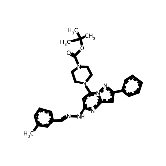 Cc1cccc(C=NNc2cc(N3CCN(C(=O)OC(C)(C)C)CC3)n3nc(-c4ccccc4)cc3n2)c1